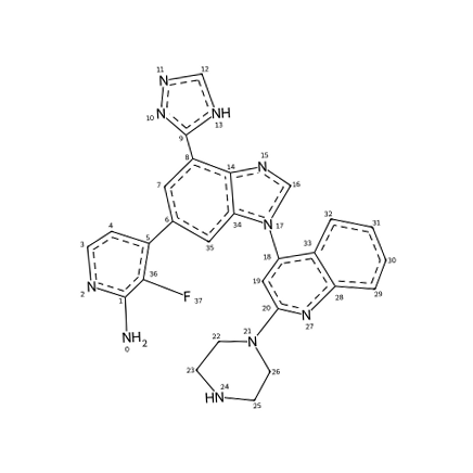 Nc1nccc(-c2cc(-c3nnc[nH]3)c3ncn(-c4cc(N5CCNCC5)nc5ccccc45)c3c2)c1F